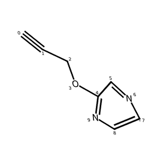 C#CCOc1cn[c]cn1